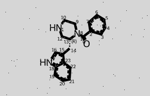 O=C(c1ccccc1)N1CCNC[C@H]1Cc1c[nH]c2ccccc12